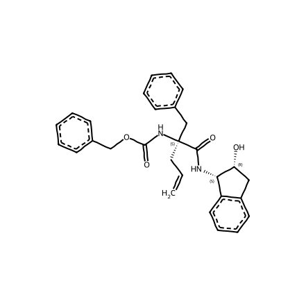 C=CC[C@@](Cc1ccccc1)(NC(=O)OCc1ccccc1)C(=O)N[C@H]1c2ccccc2C[C@H]1O